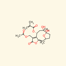 C=C(C)C(=O)O[C@@H]1C[C@@](C)(O)[C@@]2(O)CC[C@@](C)(/C=C3/OC(=O)C(COC(C)=O)=C31)O2